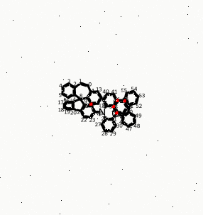 C1=Cc2ccccc2C2(c3ccccc31)c1ccccc1-c1ccc(N(c3ccccc3-c3ccccc3)c3cccc4c3Oc3ccccc3-c3ccccc3-4)cc12